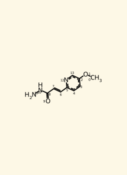 COc1ccc(/C=C/C(=O)NN)nc1